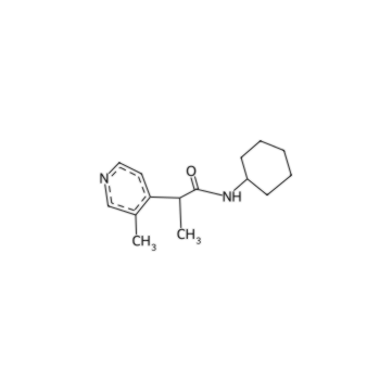 Cc1cnccc1C(C)C(=O)NC1CCCCC1